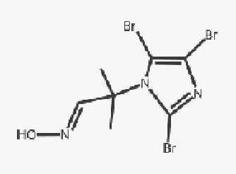 CC(C)(C=NO)n1c(Br)nc(Br)c1Br